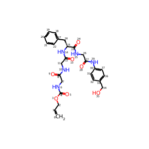 C=CCOC(=O)NCC(=O)NCC(=O)N[C@@H](Cc1ccccc1)C(=O)NCC(=O)Nc1ccc(CO)cc1